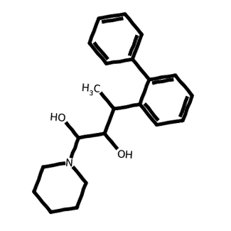 CC(c1ccccc1-c1ccccc1)C(O)C(O)N1CCCCC1